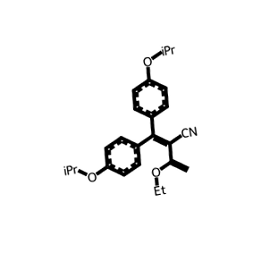 C=C(OCC)C(C#N)=C(c1ccc(OC(C)C)cc1)c1ccc(OC(C)C)cc1